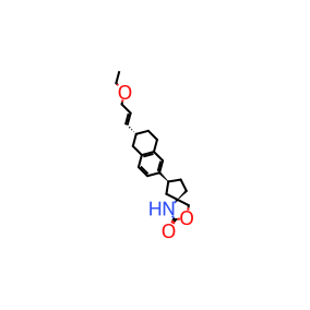 CCOCC=C[C@@H]1CCc2cc([C@H]3CC[C@]4(COC(=O)N4)C3)ccc2C1